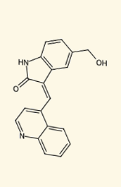 O=C1Nc2ccc(CO)cc2C1=Cc1ccnc2ccccc12